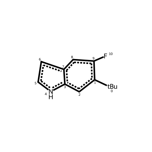 CC(C)(C)c1cc2[nH]ccc2cc1F